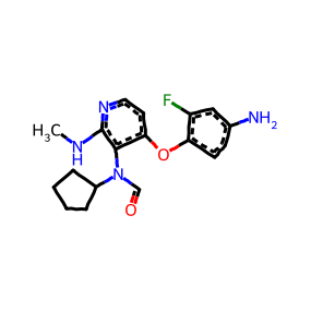 CNc1nccc(Oc2ccc(N)cc2F)c1N(C=O)C1CCCC1